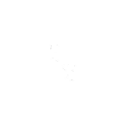 O=C(c1ccccc1)N1C[C@@H]2C[C@H]1CN2C1=NC=CCN1O